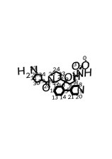 COC(=O)NCCCC(O)(c1ccccc1-c1ccncc1)C1CCCN(C(=O)C2CCC(N)C2)C1